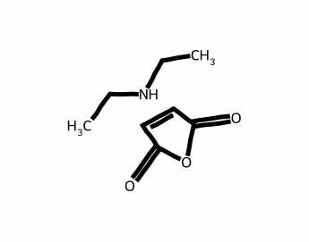 CCNCC.O=C1C=CC(=O)O1